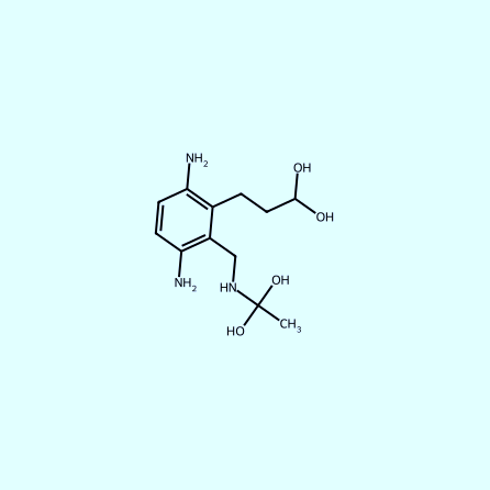 CC(O)(O)NCc1c(N)ccc(N)c1CCC(O)O